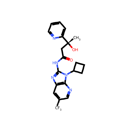 C[C@@](O)(CC(=O)Nc1nc2cc(C(F)(F)F)cnc2n1C1CCC1)c1ccccn1